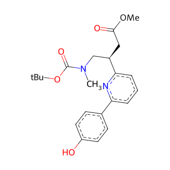 COC(=O)C[C@H](CN(C)C(=O)OC(C)(C)C)c1cccc(-c2ccc(O)cc2)n1